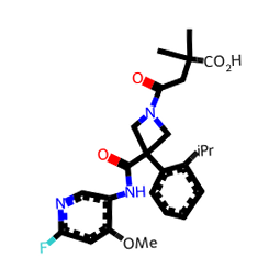 COc1cc(F)ncc1NC(=O)C1(c2ccccc2C(C)C)CN(C(=O)CC(C)(C)C(=O)O)C1